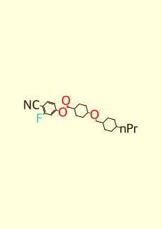 CCCC1CCC(COC2CCC(C(=O)Oc3ccc(C#N)c(F)c3)CC2)CC1